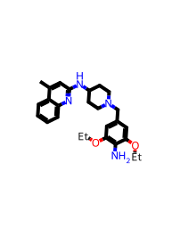 CCOc1cc(CN2CCC(Nc3cc(C)c4ccccc4n3)CC2)cc(OCC)c1N